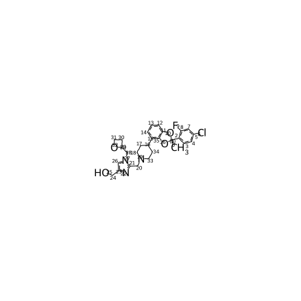 C[C@]1(c2ccc(Cl)cc2F)Oc2cccc(C3CCN(Cc4nc(CO)cn4C[C@@H]4CCO4)CC3)c2O1